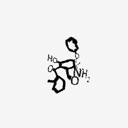 CC1=C(C(=O)C2=C(C=O)[C@](C)(N)[C@@H](Oc3ccccc3)C=C2O)C=CCC1